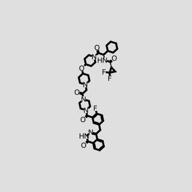 O=C(N[C@@H](C(=O)N1CCC(OC2CCN(CC(=O)N3CCN(C(=O)c4cc(Cc5n[nH]c(=O)c6ccccc56)ccc4F)CC3)CC2)CC1)C1CCCCC1)[C@H]1CC1(F)F